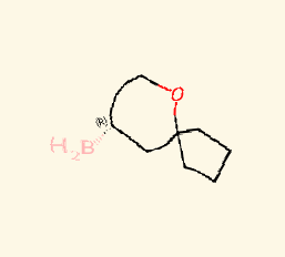 B[C@@H]1CCOC2(CCCC2)C1